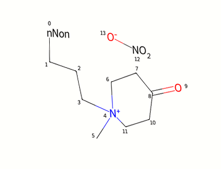 CCCCCCCCCCCC[N+]1(C)CCC(=O)CC1.O=[N+]([O-])[O-]